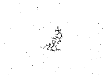 CCS(=O)(=O)c1ncc(Cl)cc1Nn1cnc2ccc(C(F)(F)F)cc2c1=O